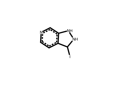 IC1NNc2cnccc21